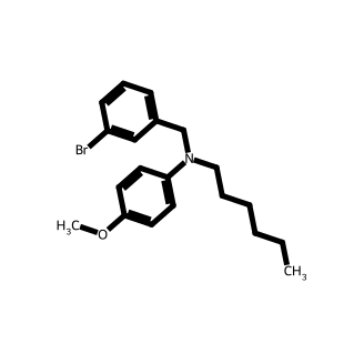 CCCCCCN(Cc1cccc(Br)c1)c1ccc(OC)cc1